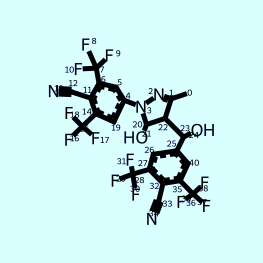 CC1=NN(c2cc(C(F)(F)F)c(C#N)c(C(F)(F)F)c2)C(O)C1C(O)c1cc(C(F)(F)F)c(C#N)c(C(F)(F)F)c1